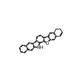 C1=Cc2cc3oc4c(ccc5c6cc7ccccc7cc6[nH]c54)c3cc2CC1